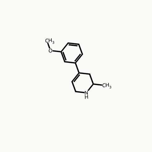 COc1cccc(C2=CCNC(C)C2)c1